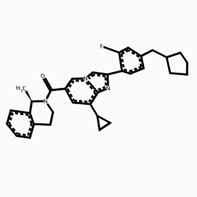 C[C@@H]1c2ccccc2CCN1C(=O)c1cc(C2CC2)c2nc(-c3ccc(CC4CCCC4)cc3F)cn2c1